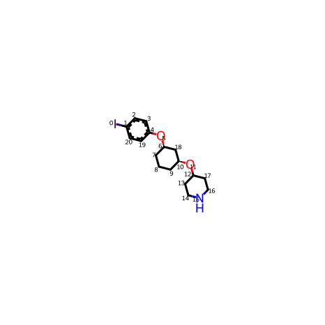 Ic1ccc(O[C@@H]2CCC[C@H](OC3CCNCC3)C2)cc1